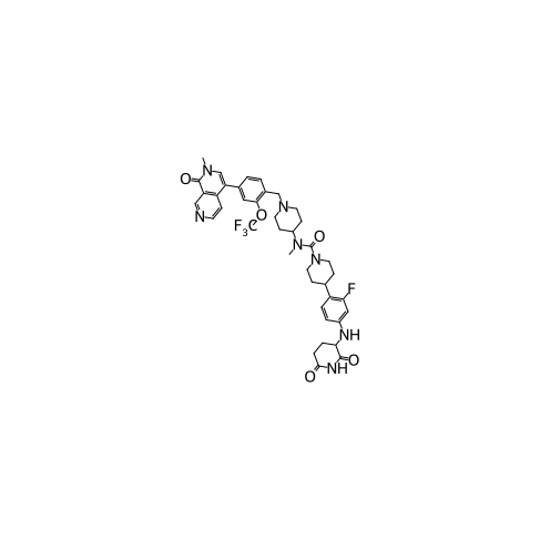 CN(C(=O)N1CCC(c2ccc(NC3CCC(=O)NC3=O)cc2F)CC1)C1CCN(Cc2ccc(-c3cn(C)c(=O)c4cnccc34)cc2OC(F)(F)F)CC1